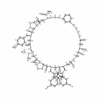 C[C@@H]1NC(=O)CCSCc2cccc(c2)CSC[C@@H](C(N)=O)NC(=O)[C@]2(C)CCCN2C(=O)[C@H](Cc2ccc(O)cc2)NC(=O)C[C@H]([C@@H](C)O)NC(=O)[C@@H]2CCCN2C(=O)[C@H](Cc2c[nH]c3ccc(F)cc23)NC(=O)[C@H](Cc2c[nH]c3ccc(F)cc23)NC(=O)CNC1=O